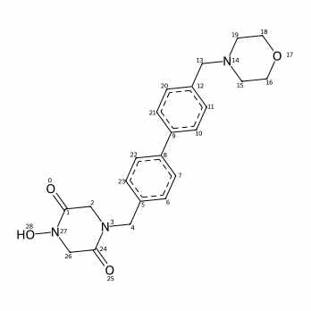 O=C1CN(Cc2ccc(-c3ccc(CN4CCOCC4)cc3)cc2)C(=O)CN1O